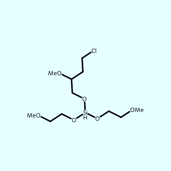 COCCO[SiH](OCCOC)OCC(CCCl)OC